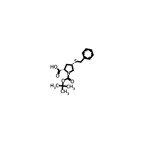 CC(C)(C)OC(=O)N1C[C@@H](SCc2ccccc2)C[C@H]1C(=O)O